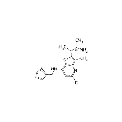 Cc1c(C(C)[C@H](C)N)sc2c(NCc3cccs3)cc(Cl)nc12